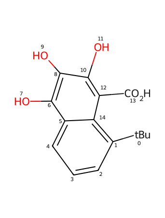 CC(C)(C)c1cccc2c(O)c(O)c(O)c(C(=O)O)c12